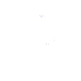 CC/C(C)=C(/N)C(=C1CC1)C(CC1CC1)C(C)C